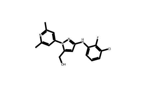 Cc1cc(-n2nc(Nc3cccc(Cl)c3F)cc2CO)cc(C)n1